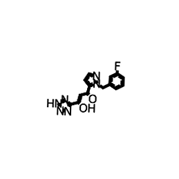 O=C(C=C(O)c1nn[nH]n1)c1ccnn1Cc1cccc(F)c1